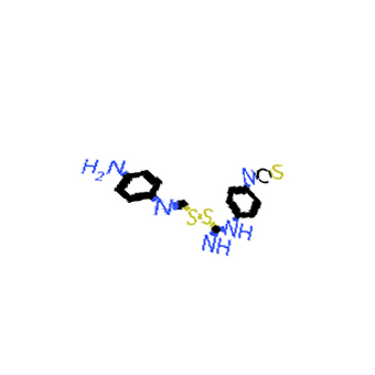 N=C(Nc1ccc(N=C=S)cc1)SSC=Nc1ccc(N)cc1